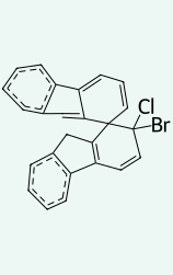 ClC1(Br)C=CC2=C(Cc3ccccc32)C12C=CC=C1C2=Cc2ccccc21